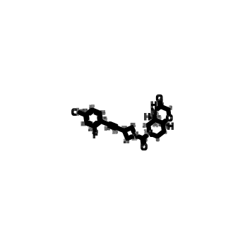 O=C1CO[C@H]2CCN(C(=O)N3CC(C#Cc4ccc(Cl)cc4F)C3)C[C@H]2N1